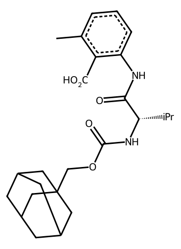 Cc1cccc(NC(=O)[C@@H](NC(=O)OCC23CC4CC(CC(C4)C2)C3)C(C)C)c1C(=O)O